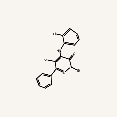 CCn1nc(-c2ccccc2)c(C(C)=O)c(Nc2ccccc2Cl)c1=O